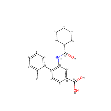 Cc1ccccc1-c1ccc(C(=O)O)cc1NC(=O)C1CCCCC1